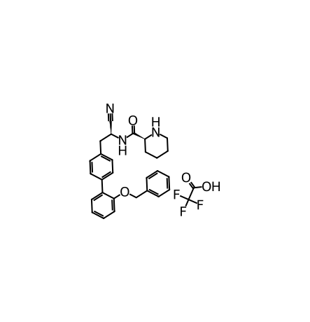 N#C[C@H](Cc1ccc(-c2ccccc2OCc2ccccc2)cc1)NC(=O)[C@@H]1CCCCN1.O=C(O)C(F)(F)F